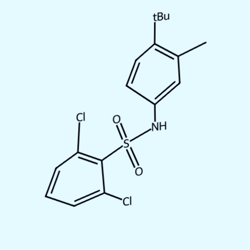 Cc1cc(NS(=O)(=O)c2c(Cl)cccc2Cl)ccc1C(C)(C)C